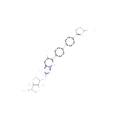 O=C(O)C1CCC(c2ccc(-c3ccc(-c4nc5nc(O[C@@H]6CO[C@H]7[C@@H]6OC[C@H]7O)[nH]c5cc4Cl)cc3)cc2)=N1